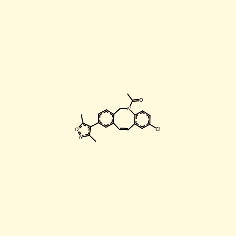 CC(=O)N1Cc2ccc(-c3c(C)noc3C)cc2C=Cc2cc(Cl)ccc21